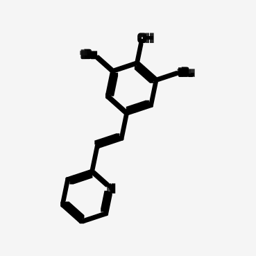 CC(C)(C)c1cc(C=Cc2ccccn2)cc(C(C)(C)C)c1O